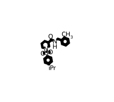 Cc1ccccc1CNC(=O)C1CCCN(S(=O)(=O)c2ccc(C(C)C)cc2)C1